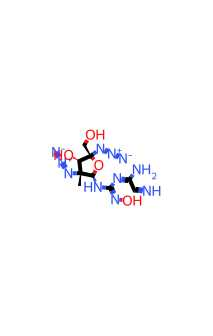 C[C@]1(N=[N+]=[N-])[C@H](NC(=N/O)/N=C(/N)C=N)O[C@@](CO)(N=[N+]=[N-])[C@H]1O